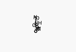 Cc1nn(-c2ccccc2)c2sc(C(=O)NCCCC(=O)N(C)C)cc12